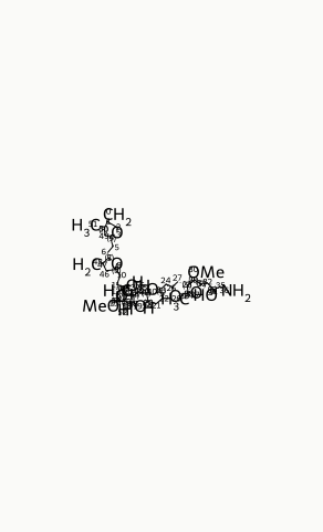 C=C1CO[C@@H](CC[C@@H]2O[C@@H](CC[C@]34C[C@@H](OC)[C@H](O3)[C@@H]3O[C@H]5CC[C@H](CC(=O)C[C@@H]6[C@@H](OC)[C@@H](C[C@H](O)CN)O[C@H]6C)O[C@@H]5[C@H](O4)[C@@H]3C)CC2=C)C[C@H]1C